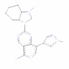 CN1CN(c2ncc3c(N)ncc(-c4cnn(C)c4)c3n2)[C@H]2CCCC[C@H]21